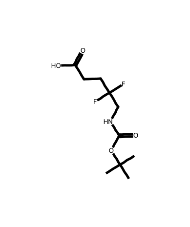 CC(C)(C)OC(=O)NCC(F)(F)CCC(=O)O